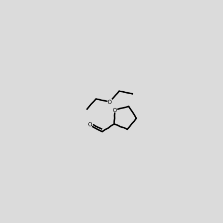 CCOCC.O=CC1CCCO1